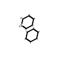 C1CCCCC1.C1CCSCC1